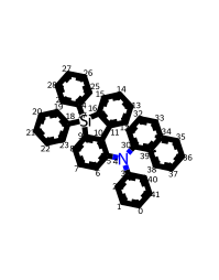 c1ccc(N(c2cccc3c2-c2ccccc2[Si]3(c2ccccc2)c2ccccc2)c2cccc3ccccc23)cc1